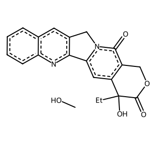 CCC1(O)C(=O)OCc2c1cc1n(c2=O)Cc2cc3ccccc3nc2-1.CO